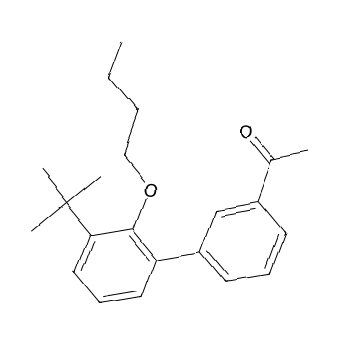 CCCCOc1c(-c2cccc(C(C)=O)c2)cccc1C(C)(C)C